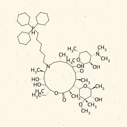 CC[C@H]1OC(=O)[C@H](C)[C@@H](C2C[C@@](C)(OC)[C@@H](O)[C@H](C)O2)[C@H](C)[C@@H](O[C@@H]2O[C@H](C)C[C@H](N(C)C)[C@H]2O)[C@](C)(O)C[C@@H](C)CN(CCCCCC[PH](C2CCCCC2)(C2CCCCC2)C2CCCCC2)[C@H](C)[C@@H](O)[C@]1(C)O